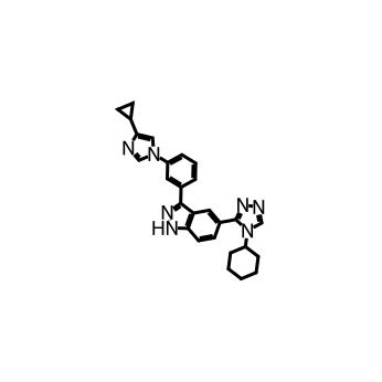 c1cc(-c2n[nH]c3ccc(-c4nncn4C4CCCCC4)cc23)cc(-n2cnc(C3CC3)c2)c1